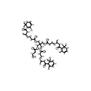 CC(CC(=O)C1C(C)C=CCC1(C)C)SCCC(=O)OCC(COC(=O)CCS)(COC(=O)CCSC(C)CC(=O)C1C(C)C=CCC1(C)C)COC(=O)CCSC(C)CC(=O)[C@H]1[C@H](C)C=CCC1(C)C